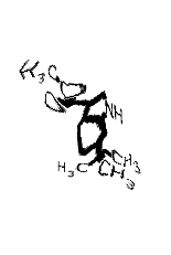 COC(=O)c1c[nH]c2c1CCC(C(C)(C)C)C2